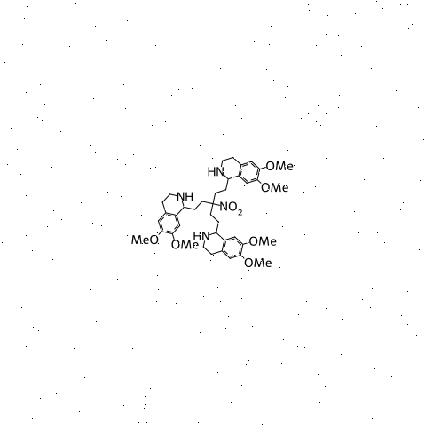 COc1cc2c(cc1OC)C(CCC(CCC1NCCc3cc(OC)c(OC)cc31)(CCC1NCCc3cc(OC)c(OC)cc31)[N+](=O)[O-])NCC2